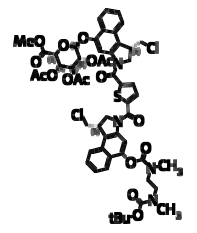 COC(=O)[C@H]1O[C@@H](Oc2cc3c(c4ccccc24)[C@H](CCl)CN3C(=O)c2ccc(C(=O)N3C[C@@H](CCl)c4c3cc(OC(=O)N(C)CCN(C)C(=O)OC(C)(C)C)c3ccccc43)s2)[C@H](OC(C)=O)[C@@H](OC(C)=O)[C@@H]1OC(C)=O